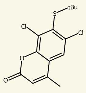 Cc1cc(=O)oc2c(Cl)c(SC(C)(C)C)c(Cl)cc12